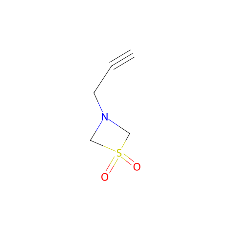 C#CCN1CS(=O)(=O)C1